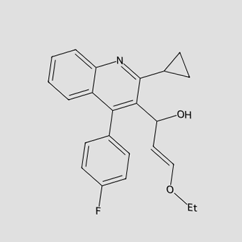 CCOC=CC(O)c1c(C2CC2)nc2ccccc2c1-c1ccc(F)cc1